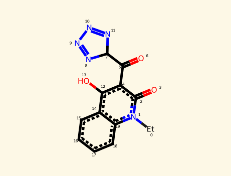 CCn1c(=O)c(C(=O)C2N=NN=N2)c(O)c2ccccc21